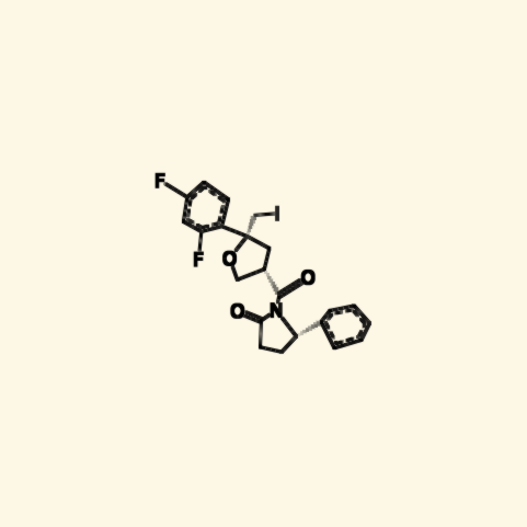 O=C1CC[C@@H](c2ccccc2)N1C(=O)[C@@H]1CO[C@@](CI)(c2ccc(F)cc2F)C1